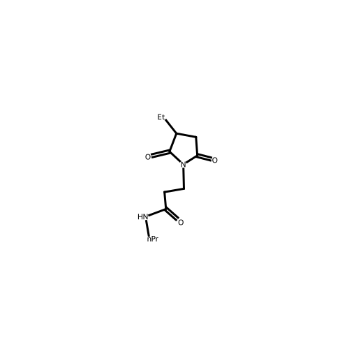 CCCNC(=O)CCN1C(=O)CC(CC)C1=O